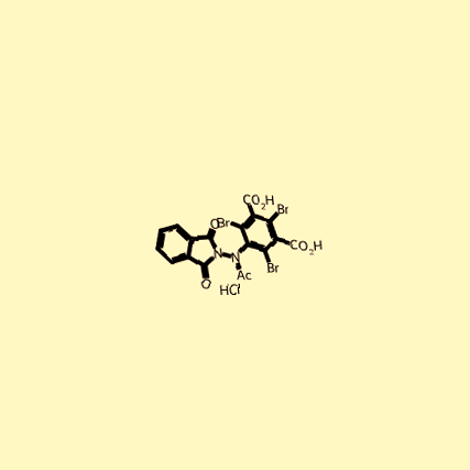 CC(=O)N(c1c(Br)c(C(=O)O)c(Br)c(C(=O)O)c1Br)N1C(=O)c2ccccc2C1=O.Cl